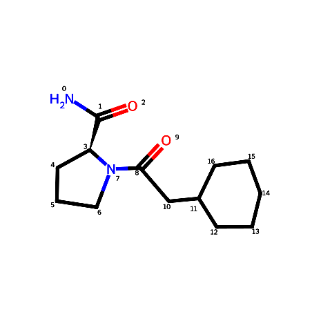 NC(=O)[C@@H]1CCCN1C(=O)CC1CCCCC1